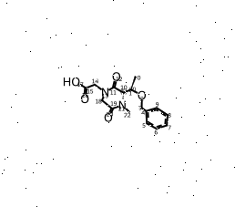 C[C@@H](OCc1ccccc1)[C@H]1C(=O)N(CC(=O)O)CC(=O)N1C